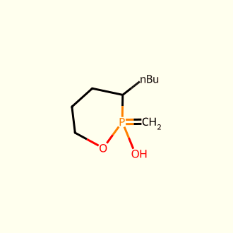 C=P1(O)OCCCC1CCCC